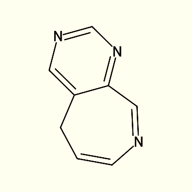 C1=CN=Cc2ncncc2C1